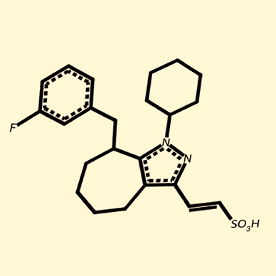 O=S(=O)(O)/C=C/c1nn(C2CCCCC2)c2c1CCCCC2Cc1cccc(F)c1